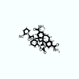 N#CC1CCCN1C(=O)CNCCC1(c2nc(=O)on2C2CCCCC2)c2ccc(C(N)=O)cc2CCc2cc(C(N)=O)ccc21